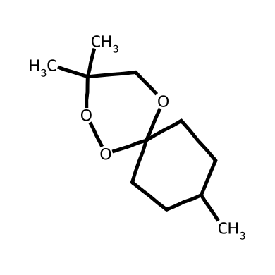 CC1CCC2(CC1)OCC(C)(C)OO2